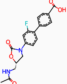 CC(=O)NC[C@H]1CN(c2ccc(-c3ccc(C(=O)O)cc3)c(F)c2)C(=O)O1